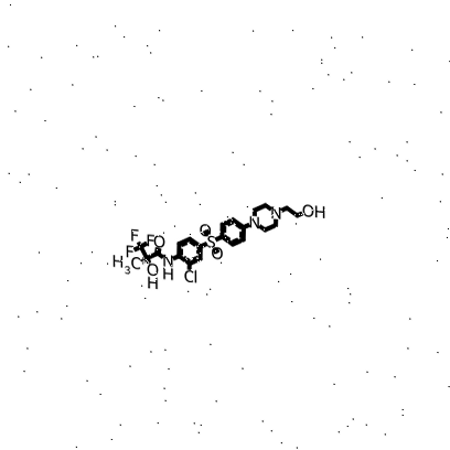 C[C@@](O)(C(=O)Nc1ccc(S(=O)(=O)c2ccc(N3CCN(CCO)CC3)cc2)cc1Cl)C(F)(F)F